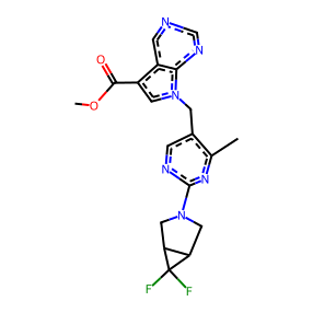 COC(=O)c1cn(Cc2cnc(N3CC4C(C3)C4(F)F)nc2C)c2ncncc12